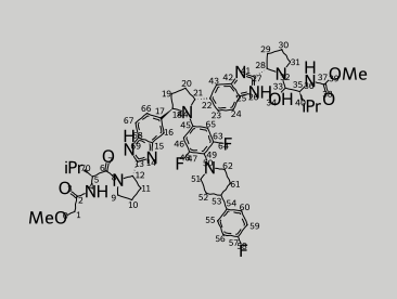 COCC(=O)N[C@H](C(=O)N1CCC[C@H]1c1nc2cc([C@H]3CC[C@H](c4ccc5[nH]c([C@@H]6CCCN6C(O)[C@@H](NC(=O)OC)C(C)C)nc5c4)N3c3cc(F)c(N4CCC(c5ccc(F)cc5)CC4)c(F)c3)ccc2[nH]1)C(C)C